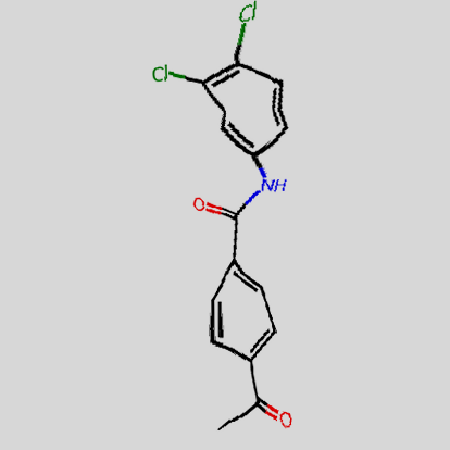 CC(=O)c1ccc(C(=O)Nc2ccc(Cl)c(Cl)c2)cc1